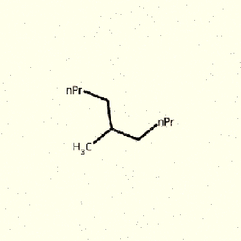 [CH2]CCCC(C)CCC[CH2]